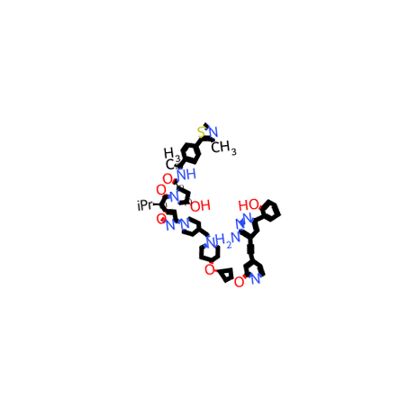 Cc1ncsc1-c1ccc([C@H](C)NC(=O)[C@@H]2C[C@@H](O)CN2C(=O)[C@@H](c2cc(N3CCC(CN4CCC(O[C@H]5C[C@H](Oc6cc(C#Cc7cc(-c8ccccc8O)nnc7N)ccn6)C5)CC4)CC3)no2)C(C)C)cc1